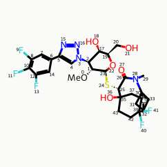 CO[C@@H]1[C@@H](n2cc(-c3cc(F)c(F)c(F)c3)nn2)[C@@H](O)[C@@H](CO)O[C@H]1S[C@H](C(=O)N(C)C12CC(C1)C2)C1(O)CCC(F)(F)CC1